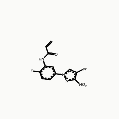 C=CC(=O)Nc1cc(-n2cc(Br)c([N+](=O)[O-])n2)ccc1F